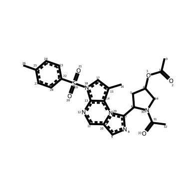 CC(=O)OC1CC(c2ncc3cnc4c(c(C)cn4S(=O)(=O)c4ccc(C)cc4)n23)N(C(C)=O)C1